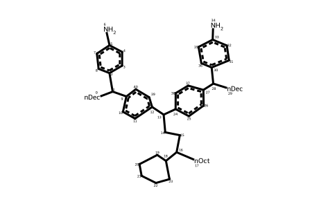 CCCCCCCCCCC(c1ccc(N)cc1)c1ccc(C(CCC(CCCCCCCC)C2CCCCC2)c2ccc(C(CCCCCCCCCC)c3ccc(N)cc3)cc2)cc1